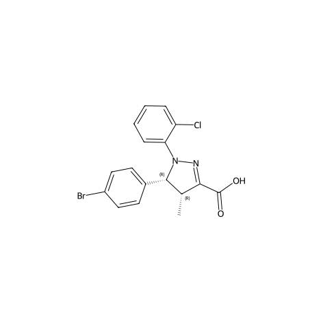 C[C@H]1C(C(=O)O)=NN(c2ccccc2Cl)[C@H]1c1ccc(Br)cc1